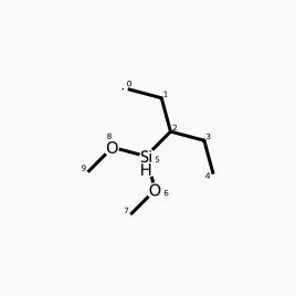 [CH2]CC(CC)[SiH](OC)OC